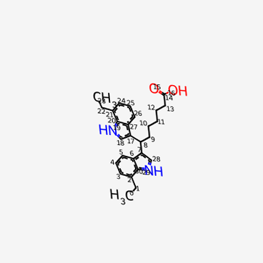 CCc1cccc2c(C(CCCCCC(=O)O)c3c[nH]c4c(CC)cccc34)c[nH]c12